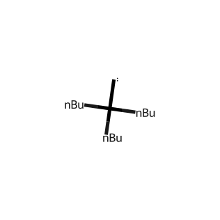 [CH]C(CCCC)(CCCC)CCCC